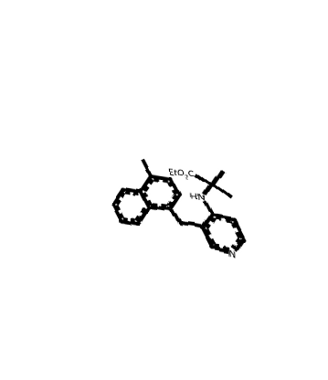 CCOC(=O)C(C)(C)Nc1ccncc1Cc1ccc(C)c2ccccc12